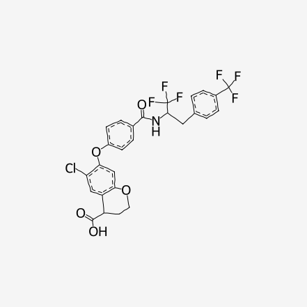 O=C(NC(Cc1ccc(C(F)(F)F)cc1)C(F)(F)F)c1ccc(Oc2cc3c(cc2Cl)C(C(=O)O)CCO3)cc1